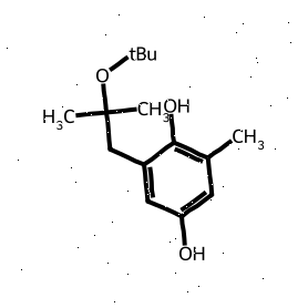 Cc1cc(O)cc(CC(C)(C)OC(C)(C)C)c1O